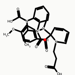 CCC1N(C(=O)O)c2ccc3cc2[N+]1(C(=O)O)N3C1(C(=O)c2ccc(OC)cc2)C=CC=CN1CCC(=O)O